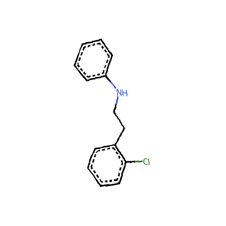 Clc1ccccc1CCNc1ccccc1